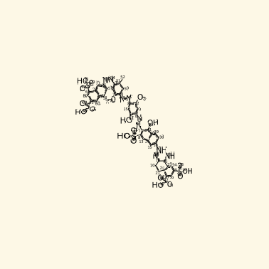 COc1cc(N=Nc2c(S(=O)(=O)O)cc3cc(N/N=C4/C=Cc5c(cc(S(=O)(=O)O)cc5S(=O)(=O)O)C4=N)ccc3c2O)c(O)cc1N=Nc1cc(C)c(/N=N\c2ccc3cc(S(=O)(=O)O)cc(S(=O)(=O)O)c3c2)cc1OC